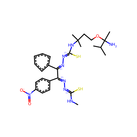 CN/C(S)=N/N=C(/C(=N/N=C(\S)NC(C)(C)CCOC(C)(N)C(C)C)c1ccccc1)c1ccc([N+](=O)[O-])cc1